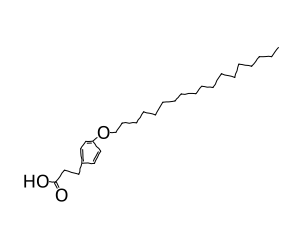 CCCCCCCCCCCCCCCCCCOc1ccc(CCC(=O)O)cc1